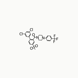 CS(=O)(=O)c1ccc(-c2cc(Cl)cc(Cl)c2)c(C(=O)N2CCN(c3ccc(C(F)(F)F)cc3)CC2)c1